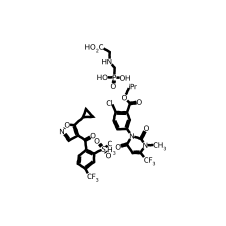 CC(C)OC(=O)c1cc(-n2c(=O)cc(C(F)(F)F)n(C)c2=O)ccc1Cl.CS(=O)(=O)c1cc(C(F)(F)F)ccc1C(=O)c1cnoc1C1CC1.O=C(O)CNCP(=O)(O)O